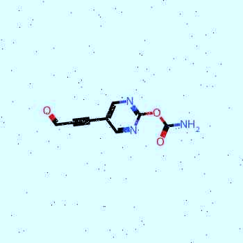 NC(=O)Oc1ncc(C#CC=O)cn1